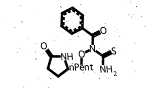 CCCCCON(C(=O)c1ccccc1)C(N)=S.O=C1CCCN1